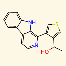 CC(O)c1cscc1-c1nccc2c1[nH]c1ccccc12